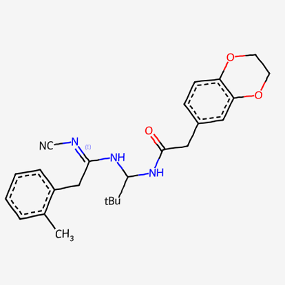 Cc1ccccc1C/C(=N\C#N)NC(NC(=O)Cc1ccc2c(c1)OCCO2)C(C)(C)C